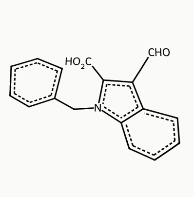 O=Cc1c(C(=O)O)n(Cc2ccccc2)c2ccccc12